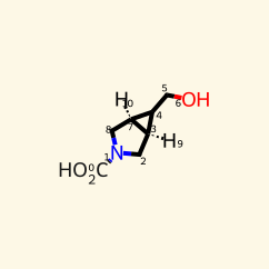 O=C(O)N1C[C@@H]2C(CO)[C@@H]2C1